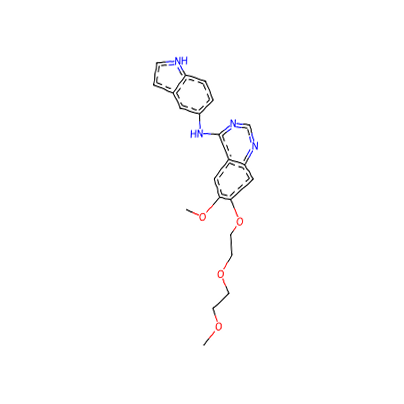 COCCOCCOc1cc2ncnc(Nc3ccc4[nH]ccc4c3)c2cc1OC